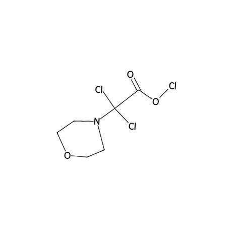 O=C(OCl)C(Cl)(Cl)N1CCOCC1